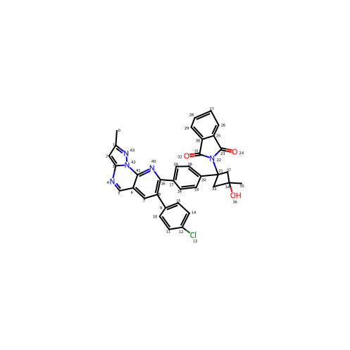 Cc1cc2ncc3cc(-c4ccc(Cl)cc4)c(-c4ccc(C5(N6C(=O)c7ccccc7C6=O)CC(C)(O)C5)cc4)nc3n2n1